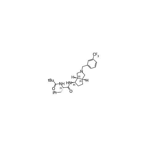 CC(C)C[C@H](NC(=O)C(C)(C)C)C(=O)N[C@@H]1CC[C@H]2CN(Cc3cccc(C(F)(F)F)c3)C[C@H]21